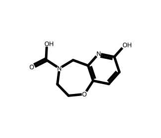 O=C(O)N1CCOc2ccc(O)nc2C1